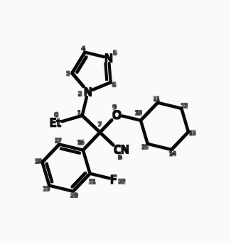 CCC(n1ccnc1)C(C#N)(OC1CCCCC1)c1ccccc1F